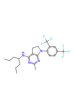 CCCC(CCC)Nc1nc(C)nc2c1CCN2c1ccc(C(F)(F)F)cc1C(F)(F)F